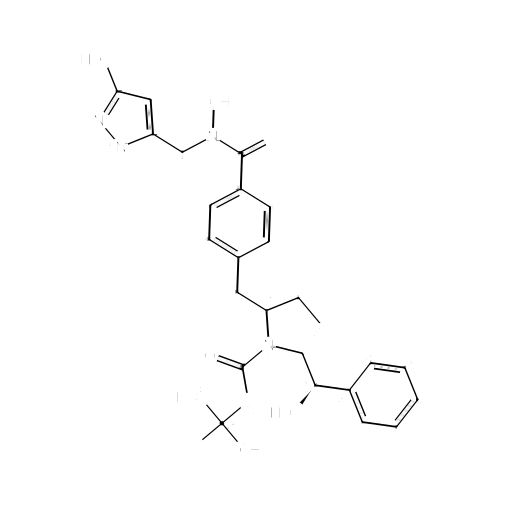 Cc1cc(CN(C)C(=O)c2ccc(CC3CC[C@H]([C@H](C)c4ccccc4)N3C(=O)OC(C)(C)C)cc2)[nH]n1